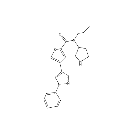 CCCN(C(=O)c1cc(-c2cnn(-c3ccccc3)c2)cs1)C1CCNC1